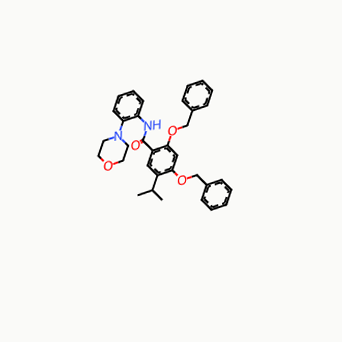 CC(C)c1cc(C(=O)Nc2ccccc2N2CCOCC2)c(OCc2ccccc2)cc1OCc1ccccc1